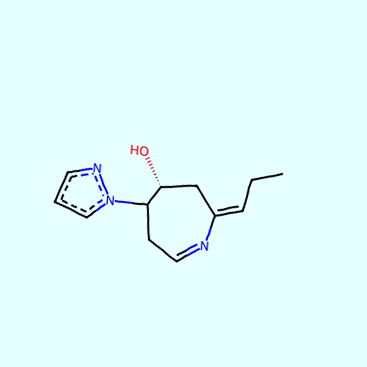 CC/C=C1\C[C@@H](O)C(n2cccn2)CC=N1